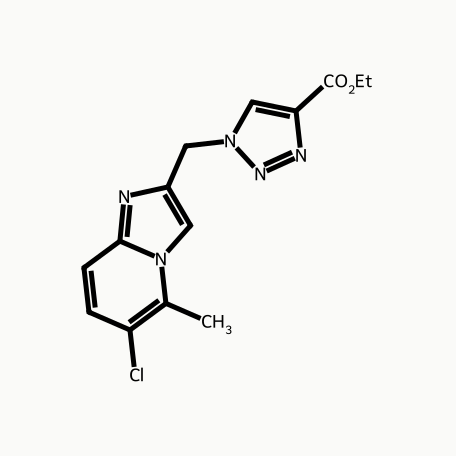 CCOC(=O)c1cn(Cc2cn3c(C)c(Cl)ccc3n2)nn1